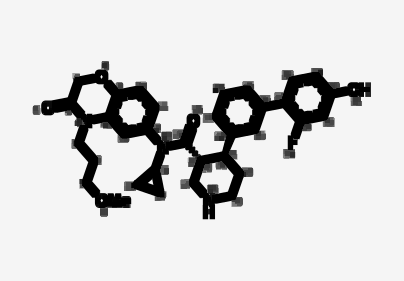 COCCCN1C(=O)COc2ccc(N(C(=O)[C@H]3CNCC[C@@H]3c3cccc(-c4ccc(O)cc4F)c3)C3CC3)cc21